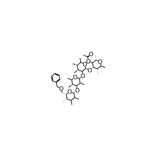 CC(=O)OC1[C@H](C)OC(C)[C@H](C)[C@@H]1O[C@@H]1OC(C)[C@H](C)[C@H](C)C1O[C@@H]1OC(C)[C@H](C)[C@H](O[C@H]2O[C@@H](COCc3ccccc3)[C@@H](C)C(C)C2C)C1C